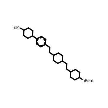 CCCCCC1CCC(CCC2CCC(CCc3ccc(C4CCC(CCC)CC4)cc3)CC2)CC1